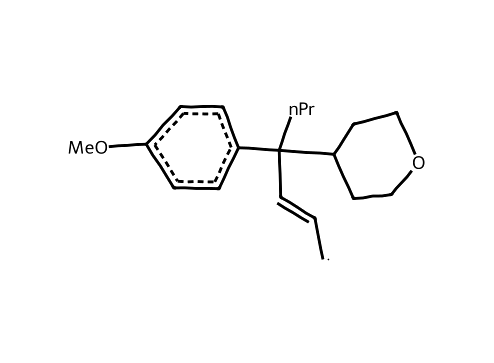 [CH2]C=CC(CCC)(c1ccc(OC)cc1)C1CCOCC1